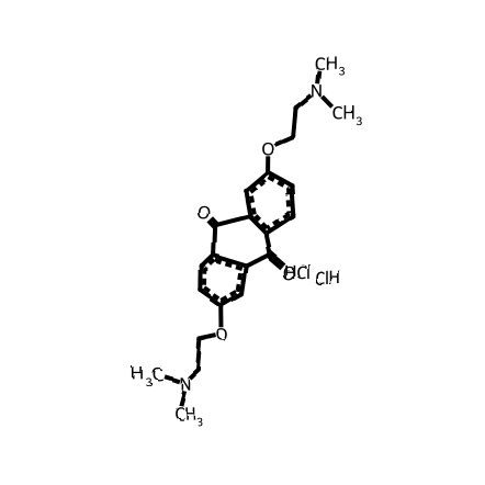 CN(C)CCOc1ccc2c(c1)C(=O)c1ccc(OCCN(C)C)cc1C2=O.Cl.Cl